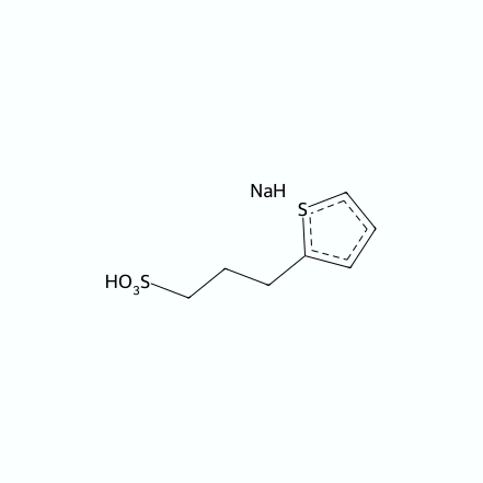 O=S(=O)(O)CCCc1cccs1.[NaH]